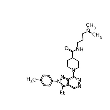 CCc1c2cnnc(N3CCC(C(=O)NCCCN(C)C)CC3)c2nn1-c1ccc(C)cc1